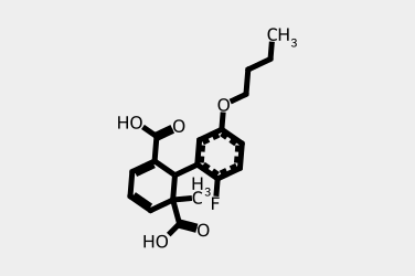 CCCCOc1ccc(F)c(C2C(C(=O)O)=CC=CC2(C)C(=O)O)c1